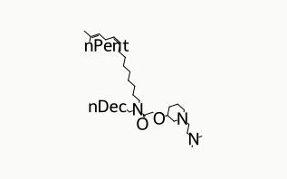 CCCCCCCCCCCN(CCCCCCCC/C=C\C/C=C(/C)CCCCC)C(=O)CO[C@H]1CCCN(CCN(C)C)C1